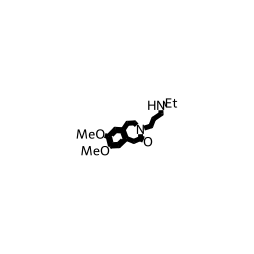 CCNCCCN1CCc2cc(OC)c(OC)cc2CC1=O